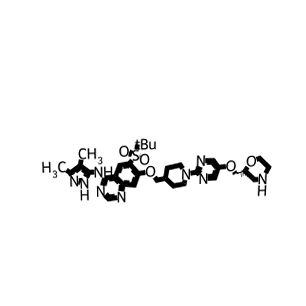 Cc1n[nH]c(Nc2ncnc3cc(OCC4CCN(c5ncc(OC[C@H]6CNCCO6)cn5)CC4)c(S(=O)(=O)C(C)(C)C)cc23)c1C